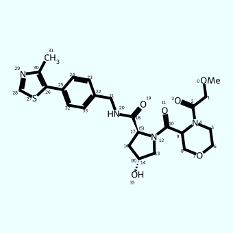 COCC(=O)N1CCOCC1C(=O)N1C[C@H](O)C[C@H]1C(=O)NCc1ccc(-c2scnc2C)cc1